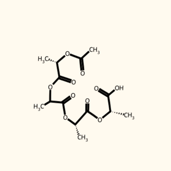 CC(=O)O[C@@H](C)C(=O)OC(C)C(=O)O[C@@H](C)C(=O)O[C@@H](C)C(=O)O